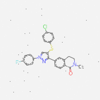 CCN1CCc2cc(-c3nn(-c4ccc(F)cc4)cc3Sc3ccc(Cl)cc3)ccc2C1=O